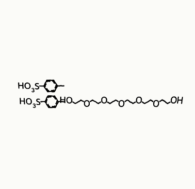 Cc1ccc(S(=O)(=O)O)cc1.Cc1ccc(S(=O)(=O)O)cc1.OCCOCCOCCOCCOCCOCCO